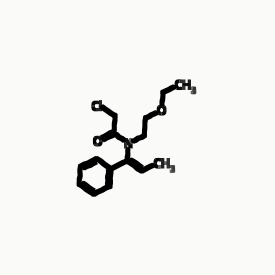 CC=C(c1ccccc1)N(CCOCC)C(=O)CCl